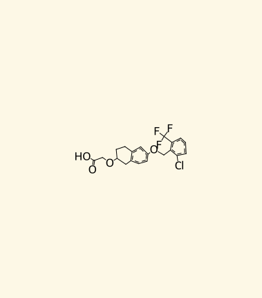 O=C(O)COC1CCc2cc(OCc3c(Cl)cccc3C(F)(F)F)ccc2C1